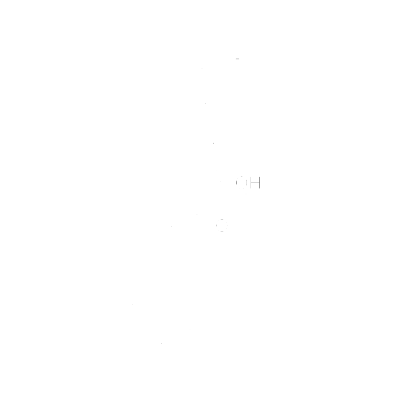 O=C(CCCc1ccccc1)CC(O)CCc1ccccc1